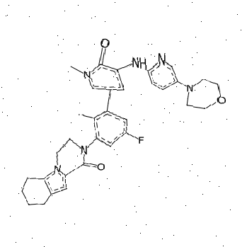 [CH2]c1c(-c2cc(Nc3ccc(N4CCOCC4)cn3)c(=O)n(C)c2)cc(F)cc1N1CCn2c(cc3c2CCCC3)C1=O